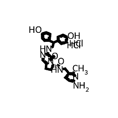 Cc1nc(N)ccc1CNC(=O)[C@@H]1CCc2cnc(NCC(c3ccc(O)cc3)c3ccc(O)cc3)c(=O)n21.Cl.Cl